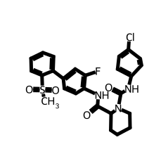 CS(=O)(=O)c1ccccc1-c1ccc(NC(=O)C2CCCCN2C(=O)Nc2ccc(Cl)cc2)c(F)c1